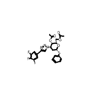 CC(=O)OC[C@H]1O[C@H](Sc2ccccc2)C[C@@H](n2cc(-c3cc(F)c(F)c(F)c3)nn2)[C@@H]1OC(C)=O